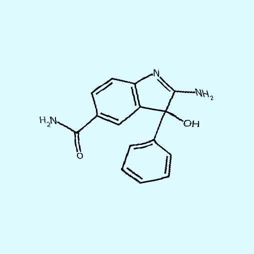 NC(=O)c1ccc2c(c1)C(O)(c1ccccc1)C(N)=N2